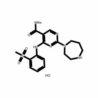 CNC(=O)c1cnc(N2CCCNCC2)nc1Nc1ccccc1S(C)(=O)=O.Cl